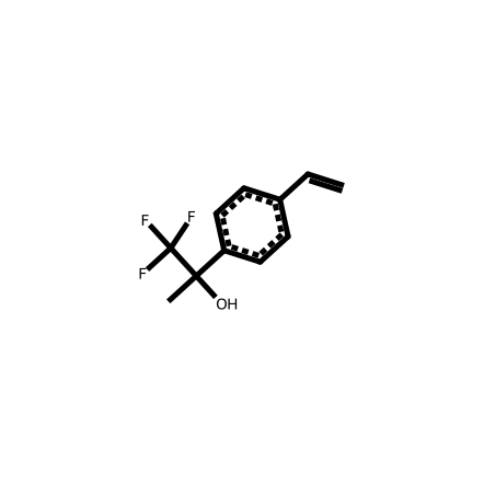 C=Cc1ccc(C(C)(O)C(F)(F)F)cc1